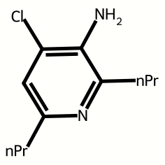 CCCc1cc(Cl)c(N)c(CCC)n1